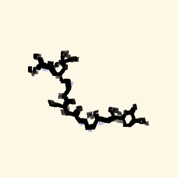 CC1=CC[C@@H]([C@@H](C)/C=C(C)/C=C\C=C\C(=O)N[C@H](C(=O)N/C=C\C[C@H](C/C=C(\C)Cl)O[Si](C)(C)C(C)(C)C)C(C)(C)C)OC1=O